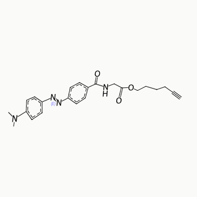 C#CCCCCOC(=O)CNC(=O)c1ccc(/N=N/c2ccc(N(C)C)cc2)cc1